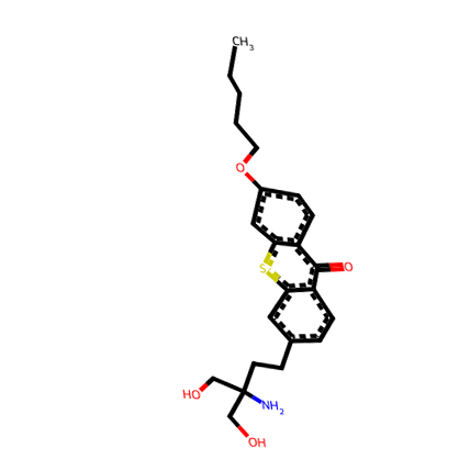 CCCCCOc1ccc2c(=O)c3ccc(CCC(N)(CO)CO)cc3sc2c1